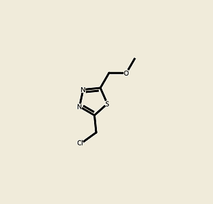 COCc1nnc(CCl)s1